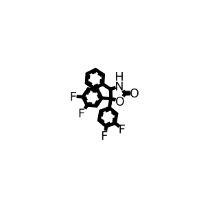 O=C1NC(c2ccccc2)C(c2ccc(F)c(F)c2)(c2ccc(F)c(F)c2)O1